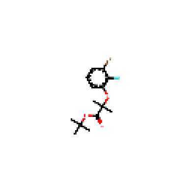 CC(C)(C)OC(=O)C(C)(C)Oc1cccc(Br)c1F